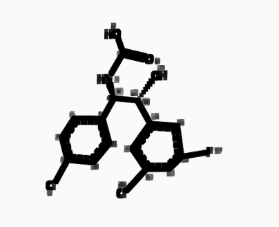 O=C(O)N[C@H](c1ccc(Cl)cc1)[C@H](O)c1cc(F)cc(Cl)c1